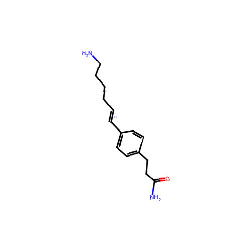 NCCCC/C=C/c1ccc(CCC(N)=O)cc1